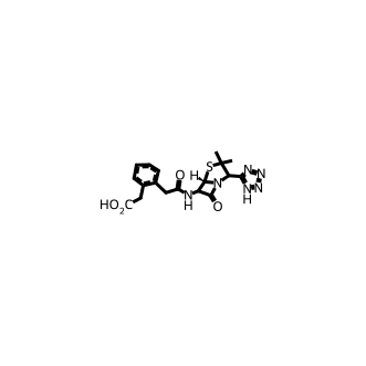 CC1(C)S[C@H]2C(NC(=O)Cc3ccccc3CC(=O)O)C(=O)N2C1c1nnn[nH]1